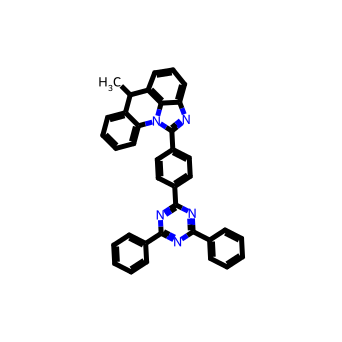 CC1c2ccccc2-n2c(-c3ccc(-c4nc(-c5ccccc5)nc(-c5ccccc5)n4)cc3)nc3cccc1c32